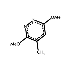 COc1cc(C)c(OC)nn1